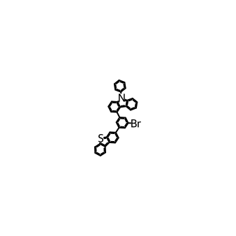 Brc1cc(-c2ccc3c(c2)sc2ccccc23)cc(-c2cccc3c2c2ccccc2n3-c2ccccc2)c1